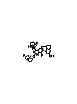 C#Cc1cccc2cc(O)cc(-c3ncc4c(N5C[C@H]6C=C[C@@H](C5)N6)nc(OC[C@@]56CCCN5C[C@H](F)C6)nc4c3F)c12